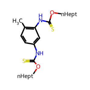 CCCCCCCOC(=S)Nc1ccc(C)c(NC(=S)OCCCCCCC)c1